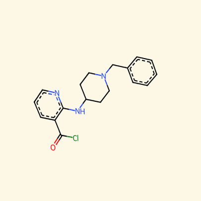 O=C(Cl)c1cccnc1NC1CCN(Cc2ccccc2)CC1